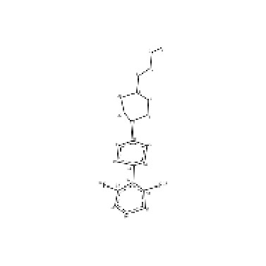 CCCCC1CCC(c2ccc(-c3c(F)cccc3F)cc2)CC1